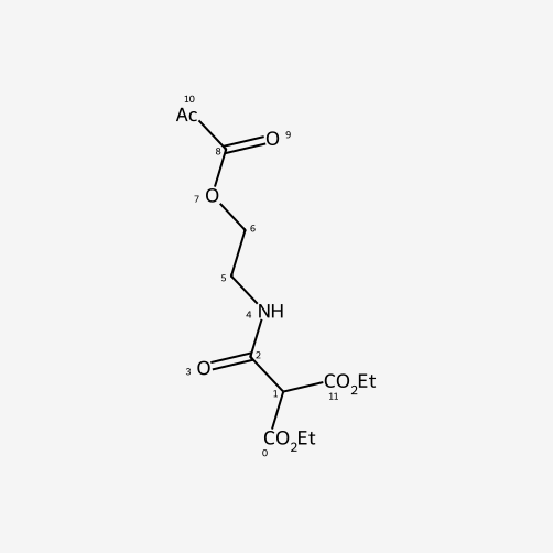 CCOC(=O)C(C(=O)NCCOC(=O)C(C)=O)C(=O)OCC